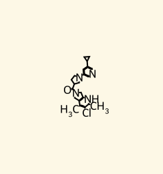 CC1=C(Cl)C(C)NC2=C1CN(C(=O)C1CCN(c3cncc(C4CC4)c3)C1)C2